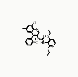 CCSc1ccnc(SCC)c1NC(=O)Nc1cnc2c(Cl)cc(C)cc2c1-c1ccccc1Cl